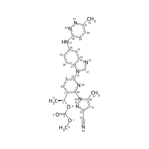 COC(=O)O[C@@H](C)c1ccc(-n2cnc3cc(Nc4ccc(C)nn4)ccc32)nc1-n1nc(C#N)cc1C